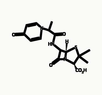 CC(C(=O)NC1C(=O)N2[C@@H]1SC(C)(C)[C@@H]2C(=O)O)n1ccc(=O)cc1